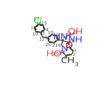 CC1=CC=CN(CC2(c3ccc(Cc4ccc(Cl)cc4)cc3)NC(O)NC2=O)C1O